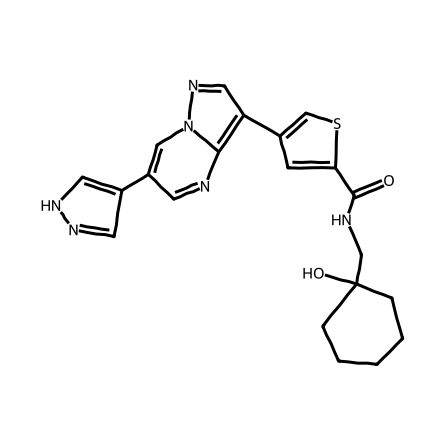 O=C(NCC1(O)CCCCC1)c1cc(-c2cnn3cc(-c4cn[nH]c4)cnc23)cs1